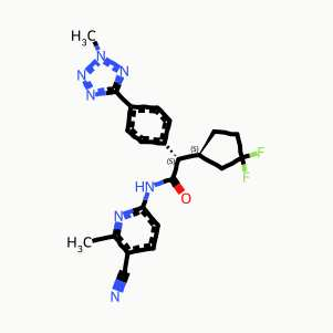 Cc1nc(NC(=O)[C@H](c2ccc(-c3nnn(C)n3)cc2)[C@H]2CCC(F)(F)C2)ccc1C#N